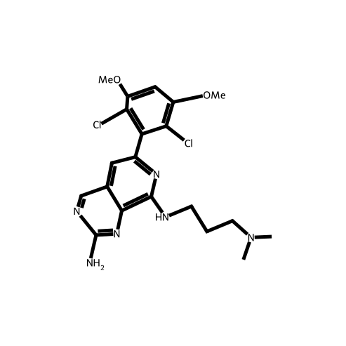 COc1cc(OC)c(Cl)c(-c2cc3cnc(N)nc3c(NCCCN(C)C)n2)c1Cl